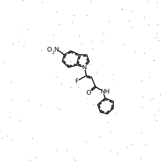 O=C(/C=C(\F)n1ccc2cc([N+](=O)[O-])ccc21)Nc1ccccc1